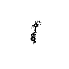 COc1ccc2nc(C=CC#Cc3ccc(N)nc3F)sc2c1